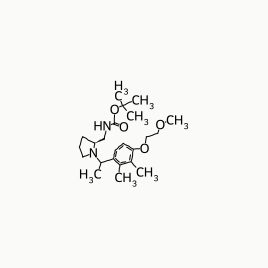 COCCOc1ccc(C(C)N2CCC[C@H]2CNC(=O)OC(C)(C)C)c(C)c1C